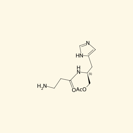 CC(=O)OC[C@H](Cc1cnc[nH]1)NC(=O)CCN